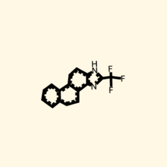 FC(F)(F)c1nc2c(ccc3c4ccccc4ccc32)[nH]1